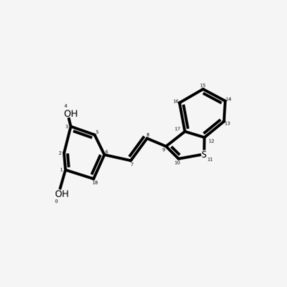 Oc1cc(O)cc(/C=C/c2csc3ccccc23)c1